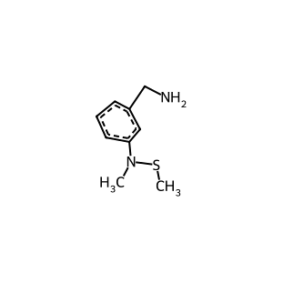 CSN(C)c1cccc(CN)c1